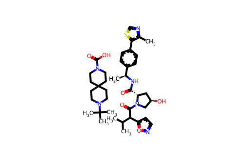 CC(C)(C)N1CCC2(CCN(C(=O)O)CC2)CC1.Cc1ncsc1-c1ccc([C@H](C)NC(=O)[C@@H]2C[C@@H](O)CN2C(=O)C(c2ccno2)C(C)C)cc1